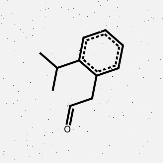 CC(C)c1ccccc1C[C]=O